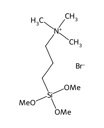 CO[Si](CCC[N+](C)(C)C)(OC)OC.[Br-]